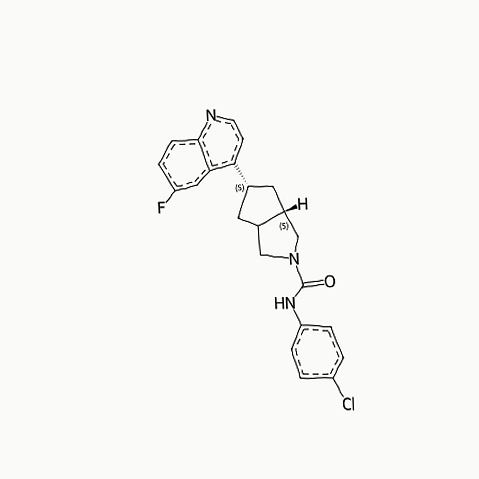 O=C(Nc1ccc(Cl)cc1)N1CC2C[C@H](c3ccnc4ccc(F)cc34)C[C@@H]2C1